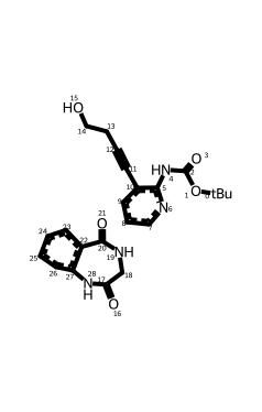 CC(C)(C)OC(=O)Nc1ncccc1C#CCCO.O=C1CNC(=O)c2ccccc2N1